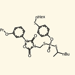 CCCCCCSc1ccc(OP(=O)(SCn2c(=O)on(-c3cccc(OCCC)c3)c2=O)SC(C)CCCC)cc1